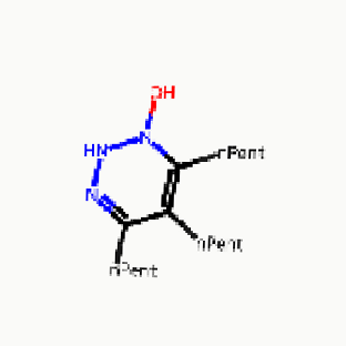 CCCCCC1=NNN(O)C(CCCCC)=C1CCCCC